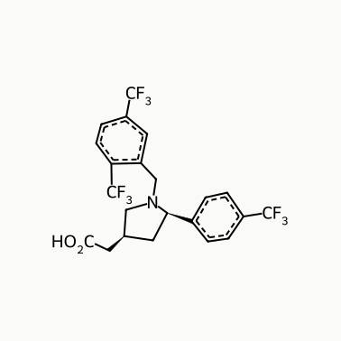 O=C(O)C[C@@H]1C[C@H](c2ccc(C(F)(F)F)cc2)N(Cc2cc(C(F)(F)F)ccc2C(F)(F)F)C1